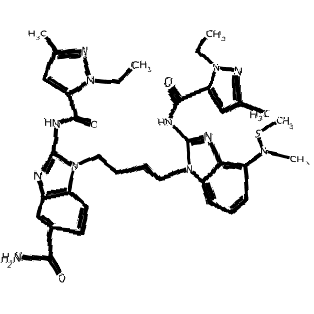 CCn1nc(C)cc1C(=O)Nc1nc2cc(C(N)=O)ccc2n1CCCCn1c(NC(=O)c2cc(C)nn2CC)nc2c(N(C)SC)cccc21